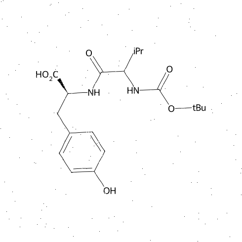 CC(C)C(NC(=O)OC(C)(C)C)C(=O)N[C@@H](Cc1ccc(O)cc1)C(=O)O